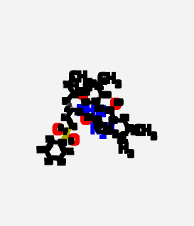 CCCC[C@@H](/C=C/S(=O)(=O)c1ccccc1)NC(=O)[C@H](CC(C)C)N(C(C)=O)C(=O)[C@@H](N)CC(C)C